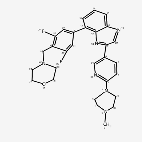 CN1CCN(c2ccc(-c3cnc4cccc(-c5cc(F)c(CN6CCOCC6)c(F)c5)c4n3)cn2)CC1